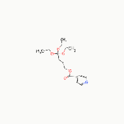 CCO[Si](CCCOC(=O)c1ccncc1)(OCC)OCC